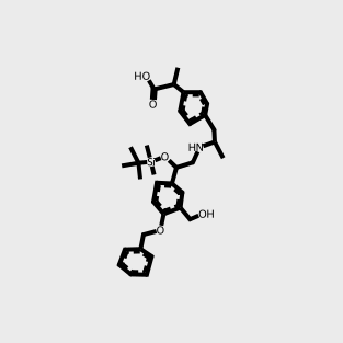 CC(Cc1ccc(C(C)C(=O)O)cc1)NCC(O[Si](C)(C)C(C)(C)C)c1ccc(OCc2ccccc2)c(CO)c1